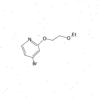 CCOCCOc1cc(Br)ccn1